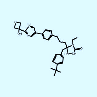 CCN1C(=O)NNC1(CCCc1ccc(-c2cnc(C3(O)COC3)nc2)cc1)Cc1ccc(C(C)(C)C)cc1